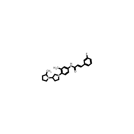 Cc1cc(NC(=O)C=Cc2cccc(F)c2)ccc1N1CCC(N2CCCC2C)C1